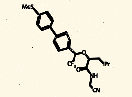 CSc1ccc(-c2ccc([C@@H](OC(CC(C)C)C(=O)NCC#N)C(F)(F)F)cc2)cc1